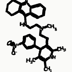 CC1=C(C)C(c2cccc([N+](=O)[O-])c2)C(CCN(C)CCNc2c3c(nc4ccccc24)CCCC3)=C(C)N1